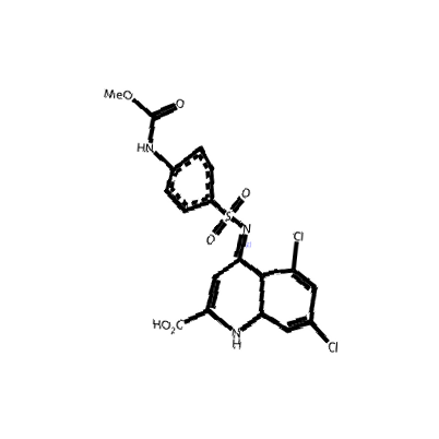 COC(=O)Nc1ccc(S(=O)(=O)/N=C2\C=C(C(=O)O)NC3C=C(Cl)C=C(Cl)C23)cc1